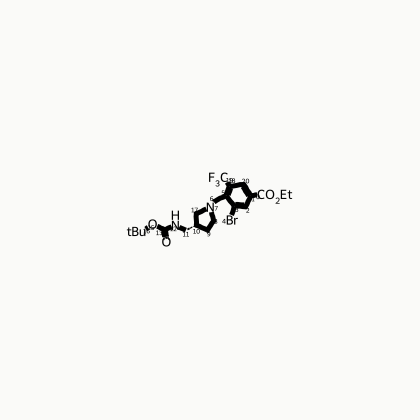 CCOC(=O)c1cc(Br)c(CN2CC[C@H](CNC(=O)OC(C)(C)C)C2)c(C(F)(F)F)c1